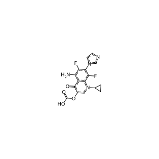 Nc1c(F)c(-n2ccnc2)c(F)c2c1c(=O)c(OC(=O)O)cn2C1CC1